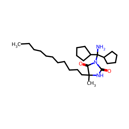 CCCCCCCCCCCC1(C)NC(=O)N(C(N)(C2CCCC2)C2CCCC2)C1=O